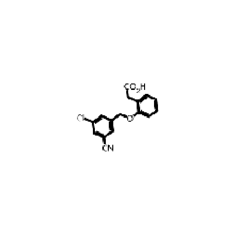 N#Cc1cc(Cl)cc(COc2ccccc2CC(=O)O)c1